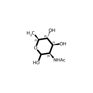 CC(=O)N[C@H]1C(O)O[C@@H](C)[C@H](O)[C@H]1O